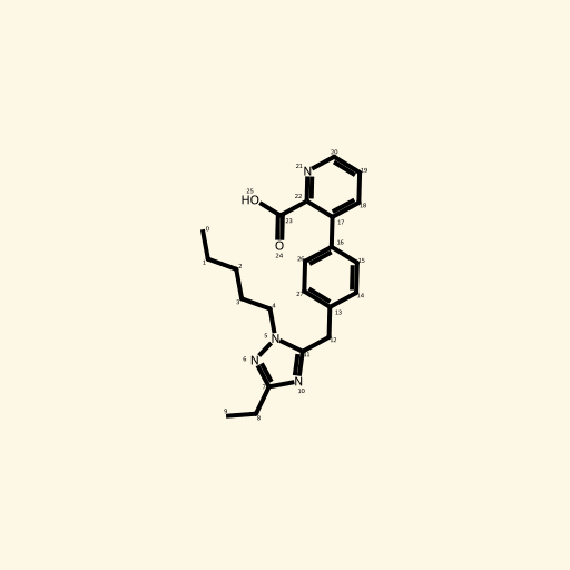 CCCCCn1nc(CC)nc1Cc1ccc(-c2cccnc2C(=O)O)cc1